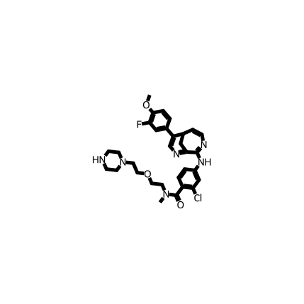 COc1ccc(C2=CN=C3CC2C=CN=C3Nc2ccc(C(=O)N(C)CCOCCN3CCNCC3)c(Cl)c2)cc1F